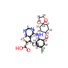 Cc1c(C(=O)O)sc2ncnc(Nc3ccc(F)cc3OC3CCC4(CC3)OCCO4)c12